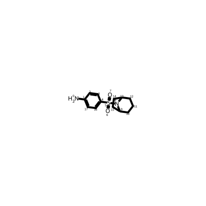 Nc1ccc(S(=O)(=O)N2C3CCCC2CC3)cc1